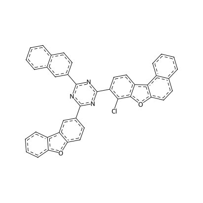 Clc1c(-c2nc(-c3ccc4ccccc4c3)nc(-c3ccc4oc5ccccc5c4c3)n2)ccc2c1oc1ccc3ccccc3c12